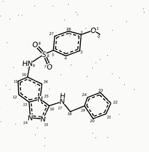 COc1ccc(S(=O)(=O)Nc2ccc3nnc(NCc4ccccc4)n3c2)cc1